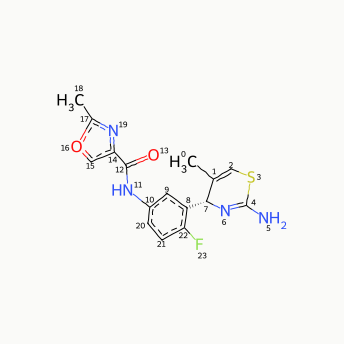 CC1=CSC(N)=N[C@@H]1c1cc(NC(=O)c2coc(C)n2)ccc1F